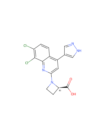 O=C(O)[C@H]1CCN1c1cc(-c2cn[nH]c2)c2ccc(Cl)c(Cl)c2n1